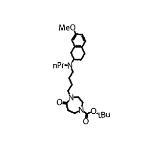 CCCN(CCCCN1CCN(C(=O)OC(C)(C)C)CCC1=O)C1CCc2ccc(OC)cc2C1